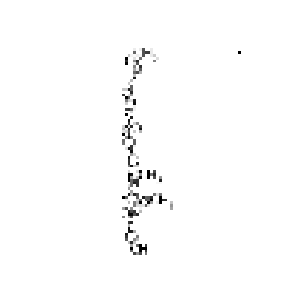 C=CC(=O)OCCCCOc1ccc(/C=C/C(=O)Oc2ccc(-c3ccc(/C(C)=N/N=C/c4ccc(OC(=O)/C=C/c5ccc(C)cc5)c(OCC)c4)cc3)cc2)cc1